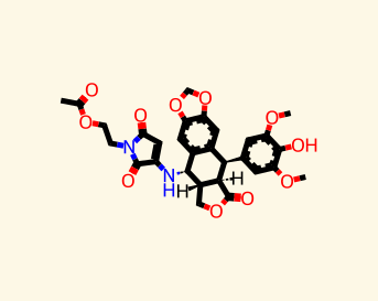 COc1cc([C@@H]2c3cc4c(cc3[C@@H](NC3=CC(=O)N(CCOC(C)=O)C3=O)[C@H]3COC(=O)[C@H]23)OCO4)cc(OC)c1O